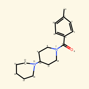 [CH2]c1ccc(C(=O)N2CCC(N3CCCCC3)CC2)cc1